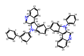 c1ccc(-c2cccc(-n3c4ccc(-c5ccc6c(c5)c5c7ccccc7ncc5n6-c5ccccc5)cc4c4c5ccccc5ncc43)c2)cc1